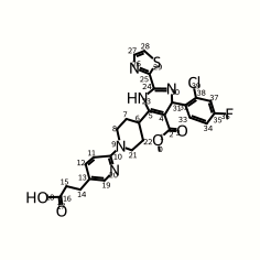 COC(=O)C1=C(C2CCN(c3ccc(CCC(=O)O)cn3)CC2)NC(c2nccs2)=NC1c1ccc(F)cc1Cl